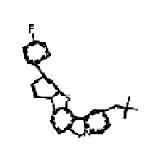 CC(C)(C)Cc1cc[n+]2c(c1)-c1c(ccc3c1SC1C=C(c4ccc(F)cc4)C=CC31)C2